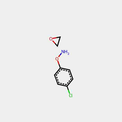 C1CO1.NOc1ccc(Cl)cc1